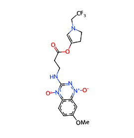 COc1ccc2c(c1)[n+]([O-])nc(NCCC(=O)OC1=CN(CC(F)(F)F)CC1)[n+]2[O-]